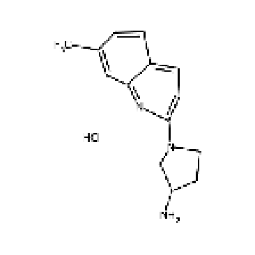 Cl.NC1CCN(c2ccc3ccc(C(F)(F)F)cc3n2)C1